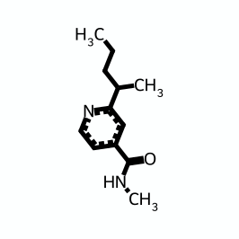 CCCC(C)c1cc(C(=O)NC)ccn1